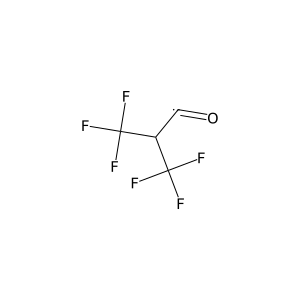 O=[C]C(C(F)(F)F)C(F)(F)F